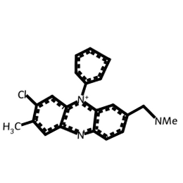 CNCc1ccc2nc3cc(C)c(Cl)cc3[n+](-c3ccccc3)c2c1